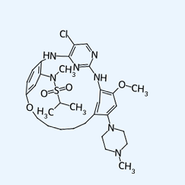 COc1cc(N2CCN(C)CC2)c2cc1Nc1ncc(Cl)c(n1)Nc1ccc(cc1N(C)S(=O)(=O)C(C)C)OCCCCC2